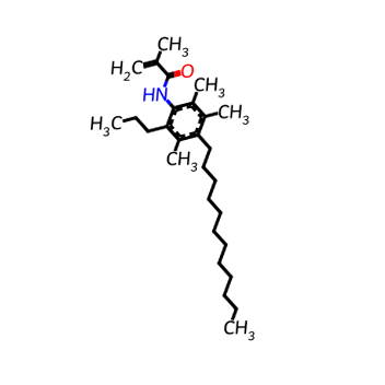 C=C(C)C(=O)Nc1c(C)c(C)c(CCCCCCCCCCCC)c(C)c1CCC